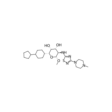 CO[C@@H]1O[C@H](C2CCC(C3CCCC3)CC2)[C@H](O)[C@H](O)[C@H]1Nc1nc(N2CCN(C)CC2)ns1